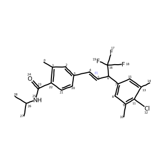 Cc1cc(/C=C/C(c2cc(C)c(Cl)c(C)c2)C(F)(F)F)ccc1C(=O)NC(C)C